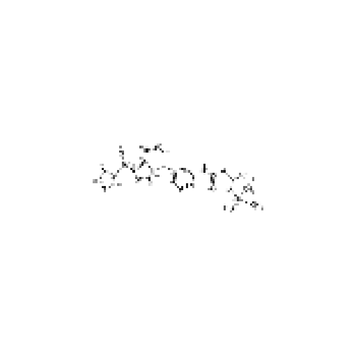 CC(CC(=O)Nc1cccc(-c2ccnc3c(C(=O)c4cccs4)cnn23)c1)CC(C)(C)C